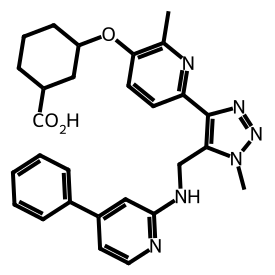 Cc1nc(-c2nnn(C)c2CNc2cc(-c3ccccc3)ccn2)ccc1OC1CCCC(C(=O)O)C1